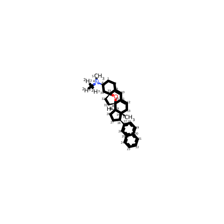 [2H]C([2H])([2H])N(C)[C@H]1CCC2=CC3=CC[C@]4(C)[C@@H](c5ccc6ccccc6c5)CC[C@H]4[C@@]34CC[C@]2(C1)O4